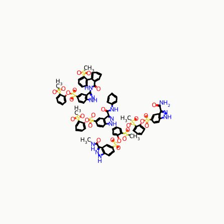 CNC(=O)c1n[nH]c2ccc(S(=O)(=O)Oc3ccccc3S(C)(=O)=O)cc12.CS(=O)(=O)c1ccccc1OS(=O)(=O)c1ccc2[nH]nc(C(=O)Nc3ccccc3)c2c1.CS(=O)(=O)c1ccccc1OS(=O)(=O)c1ccc2[nH]nc(C(N)=O)c2c1.CS(=O)(=O)c1ccccc1OS(=O)(=O)c1ccc2[nH]nc(NC(=O)c3ccccc3-c3ccccc3S(C)(=O)=O)c2c1